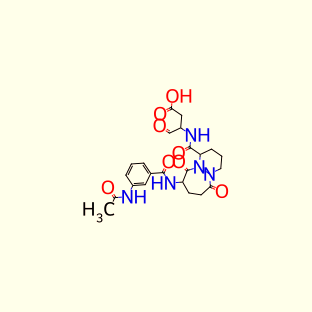 CC(=O)Nc1cccc(C(=O)NC2CCC(=O)N3CCCC(C(=O)NC(C=O)CC(=O)O)N3C2=O)c1